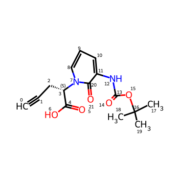 C#CC[C@@H](C(=O)O)n1cccc(NC(=O)OC(C)(C)C)c1=O